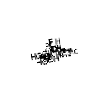 CC(=O)CCCC(=O)Nc1ccc(O[C@@H]2OC(CO)[C@@H](O)C(O)[C@@H]2NC(C)=O)c(C(F)F)c1